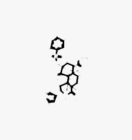 COC(=O)[C@@H]1C[C@H](OS(=O)(=O)c2ccccc2)C(=O)[C@@H]2[C@@]3(C)C[C@@H](c4ccoc4)OC(=O)[C@H]3CC[C@]21C